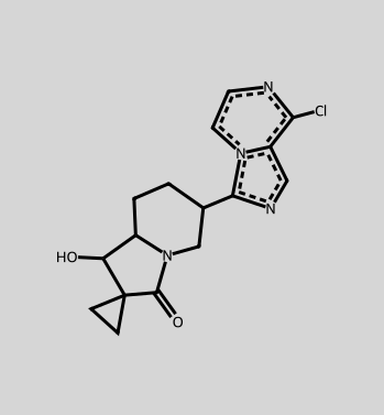 O=C1N2CC(c3ncc4c(Cl)nccn34)CCC2C(O)C12CC2